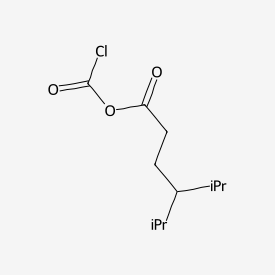 CC(C)C(CCC(=O)OC(=O)Cl)C(C)C